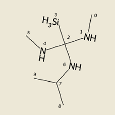 CNC([SiH3])(NC)NC(C)C